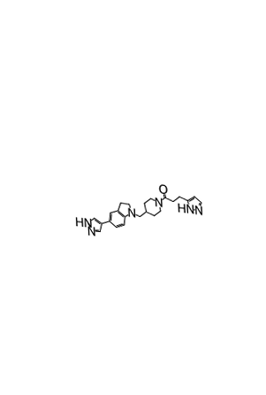 O=C(CCc1ccn[nH]1)N1CCC(CN2CCc3cc(-c4cn[nH]c4)ccc32)CC1